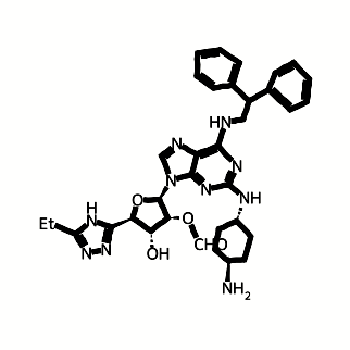 CCc1nnc([C@H]2O[C@@H](n3cnc4c(NCC(c5ccccc5)c5ccccc5)nc(N[C@H]5CC[C@H](N)CC5)nc43)[C@H](OC=O)[C@@H]2O)[nH]1